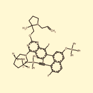 C=CCN1CCCC1(C)COc1nc(N2C[C@H]3CC[C@@H](C2)N3)c2cc(F)c(-c3cc(O[Si](C(C)C)(C(C)C)C(C)C)cc4ccc(F)c(C#C[Si](C(C)C)(C(C)C)C(C)C)c34)c(F)c2n1